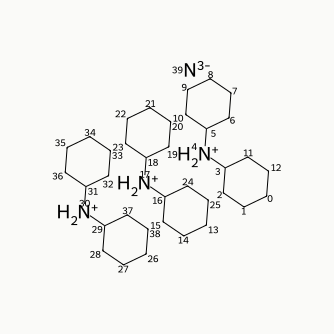 C1CCC([NH2+]C2CCCCC2)CC1.C1CCC([NH2+]C2CCCCC2)CC1.C1CCC([NH2+]C2CCCCC2)CC1.[N-3]